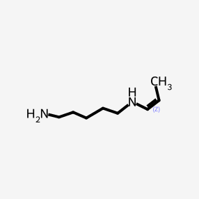 C/C=C\NCCCCCN